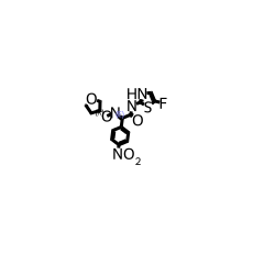 O=C(Nc1ncc(F)s1)/C(=N/O[C@@H]1CCOC1)c1ccc([N+](=O)[O-])cc1